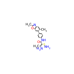 C/C(N)=C(/SN)C(=O)Nc1ccc(-c2cc3oc(C)nc3cc2C)cc1